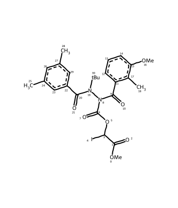 COC(=O)C(I)OC(=O)N(C(=O)c1cccc(OC)c1C)N(C(=O)c1cc(C)cc(C)c1)C(C)(C)C